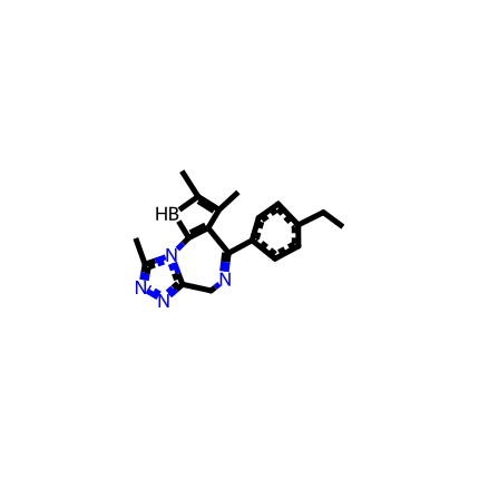 CCc1ccc(C2=NCc3nnc(C)n3C3=C2C(C)=C(C)B3)cc1